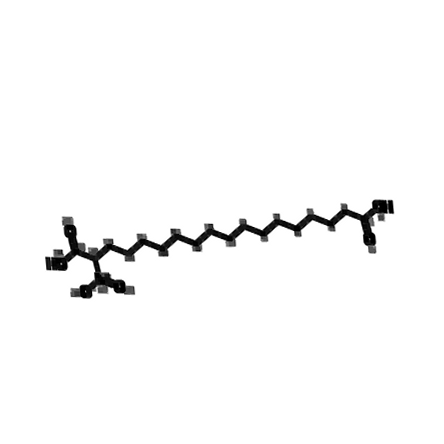 O=C(O)CCCCCCCCCCCCCCCC(C(=O)O)[N+](=O)[O-]